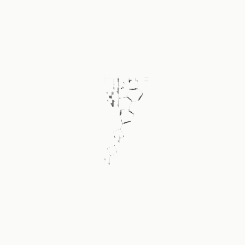 CS(=O)(=O)c1c(C(F)(F)F)ccc(-c2ccc(C3CN(C4CC(N)C4)C3)cc2)c1-c1nnn[nH]1